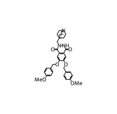 COc1ccc(COc2cc3c(=O)[nH]n(CC45CCN(CC4)CC5)c(=O)c3cc2OCc2ccc(OC)cc2)cc1